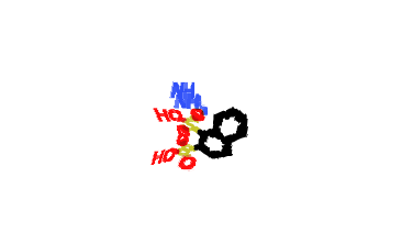 N.N.O=S(=O)(O)c1ccc2ccccc2c1S(=O)(=O)O